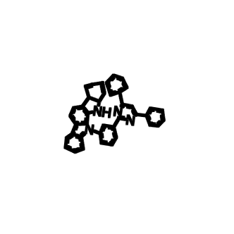 C1=CC2Nc3c(ccc4c5ccccc5n(-c5cccc(-c6nc(-c7ccccc7)cc(-c7ccccc7)n6)c5)c34)C2C=C1